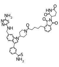 NC(=S)c1cccc(-c2cn(C3CCN(C(=O)CCCCc4cccc5c4C(=O)N(C4CCC(=O)NC4=O)C5=O)CC3)c3cc(CNc4nnc(N)s4)ccc23)c1